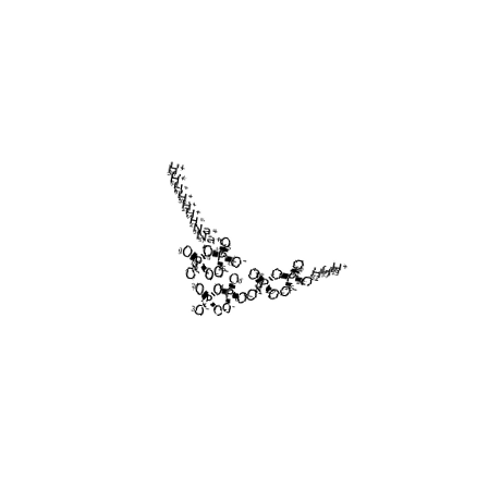 O=P([O-])([O-])OP(=O)([O-])[O-].O=P([O-])([O-])OP(=O)([O-])[O-].O=P([O-])([O-])OP(=O)([O-])[O-].[H+].[H+].[H+].[H+].[H+].[H+].[H+].[H+].[H+].[H+].[Na+].[Na+]